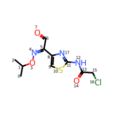 CC(C)O/N=C(/[C]=O)c1csc(NC(=O)CCl)n1